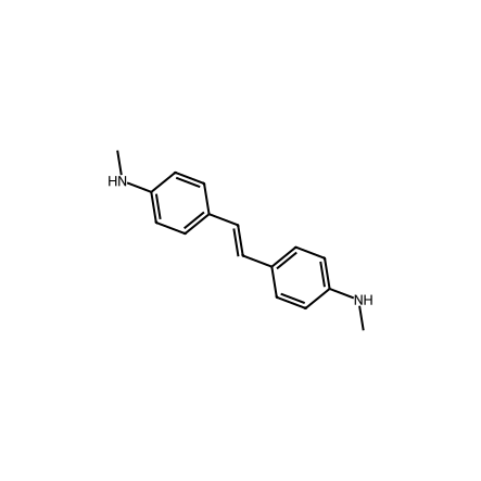 CNc1ccc(/C=C/c2ccc(NC)cc2)cc1